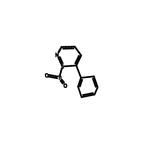 [O]=[Ti](=[O])[S]1=NC=CC=C1c1ccccc1